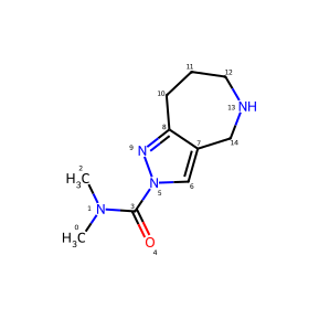 CN(C)C(=O)n1cc2c(n1)CCCNC2